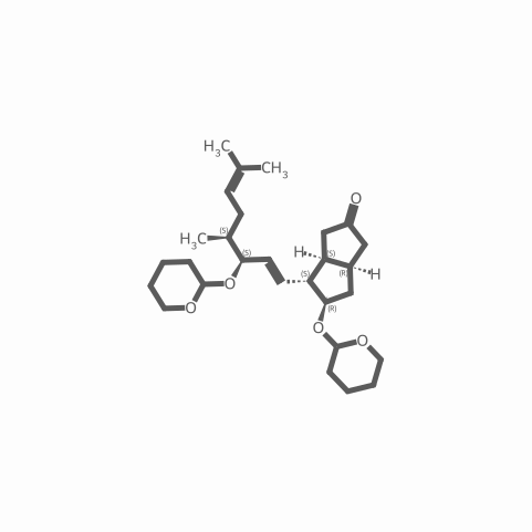 CC(C)=CC[C@H](C)[C@@H](C=C[C@@H]1[C@H]2CC(=O)C[C@H]2C[C@H]1OC1CCCCO1)OC1CCCCO1